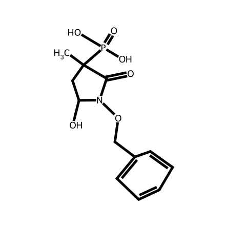 CC1(P(=O)(O)O)CC(O)N(OCc2ccccc2)C1=O